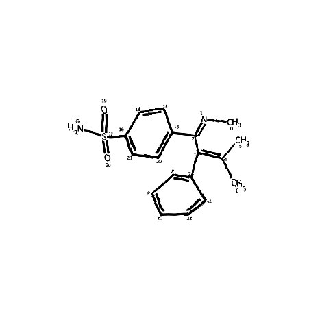 C/N=C(\C(=C(C)C)c1ccccc1)c1ccc(S(N)(=O)=O)cc1